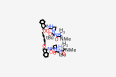 CN[C@@H](C)C(=O)N[C@H](C(=O)N1CCCC1C(=O)N[C@H]1c2ccccc2C[C@H]1OCC#CC#CCO[C@@H]1Cc2ccccc2[C@@H]1NC(=O)[C@@H]1CCCN1C(=O)[C@@H](NC(=O)[C@H](C)NC)C(C)(C)C)C(C)(C)C